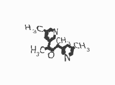 Cc1cncc(C(C)C(=O)C(C)c2cncc(C)c2)c1